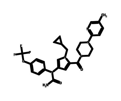 Cc1ccc(N2CCN(C(=O)c3cc(N(C(N)=O)c4ccc(OC(F)(F)F)cc4)cn3CC3CC3)CC2)nc1